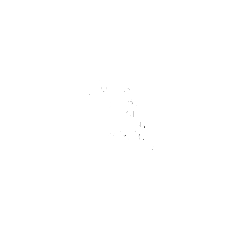 Cc1nc2c(Nc3ccc([C@H]4CCCCO4)cc3S(C)(=O)=O)cc(Cl)nc2n1C1CCCCO1